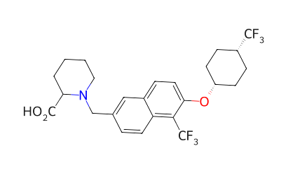 O=C(O)C1CCCCN1Cc1ccc2c(C(F)(F)F)c(O[C@H]3CC[C@@H](C(F)(F)F)CC3)ccc2c1